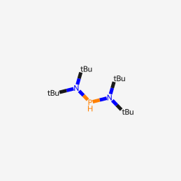 CC(C)(C)N(PN(C(C)(C)C)C(C)(C)C)C(C)(C)C